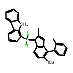 CC1=Cc2c(ccc(C(C)(C)C)c2-c2ccccc2C)[CH]1[Zr]([Cl])([Cl])[c]1cccc2c1[SiH2]c1ccccc1-2